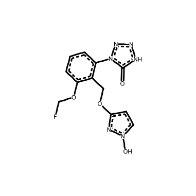 O=c1[nH]nnn1-c1cccc(OCF)c1COc1ccn(O)n1